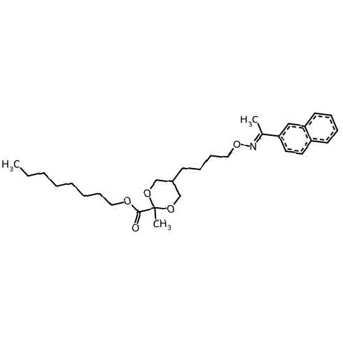 CCCCCCCCOC(=O)C1(C)OCC(CCCCON=C(C)c2ccc3ccccc3c2)CO1